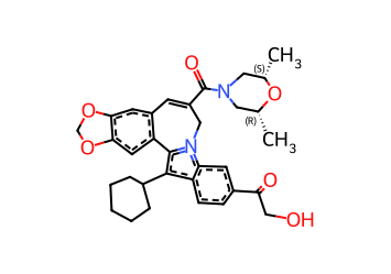 C[C@@H]1CN(C(=O)C2=Cc3cc4c(cc3-c3c(C5CCCCC5)c5ccc(C(=O)CO)cc5n3C2)OCO4)C[C@H](C)O1